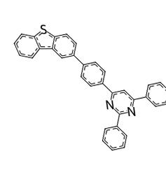 c1ccc(-c2cc(-c3ccc(-c4ccc5sc6ccccc6c5c4)cc3)nc(-c3ccccc3)n2)cc1